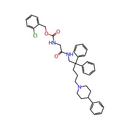 O=C(CNC(=O)OCc1ccccc1Cl)NCC(CCCN1CCC(c2ccccc2)CC1)(c1ccccc1)c1ccccc1